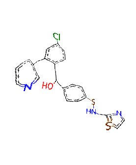 OC(c1ccc(SNc2nccs2)cc1)c1ccc(Cl)cc1-c1cccnc1